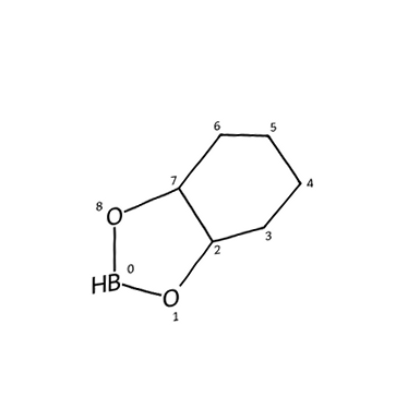 B1OC2CCCCC2O1